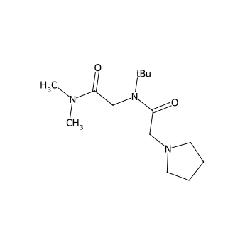 CN(C)C(=O)CN(C(=O)CN1CCCC1)C(C)(C)C